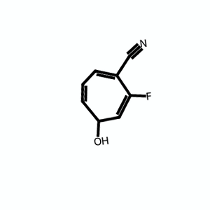 N#CC1=CC=CC(O)C=C1F